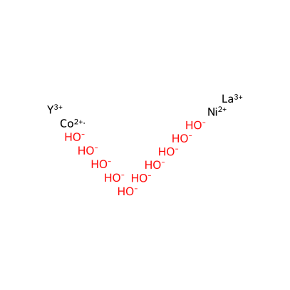 [Co+2].[La+3].[Ni+2].[OH-].[OH-].[OH-].[OH-].[OH-].[OH-].[OH-].[OH-].[OH-].[OH-].[Y+3]